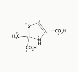 CC1(C(=O)O)NC(C(=O)O)=CS1